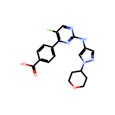 O=C(O)c1ccc(-c2nc(Nc3cnn(C4CCOCC4)c3)ncc2F)cc1